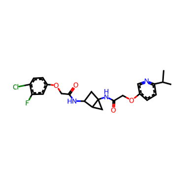 CC(C)c1ccc(OCC(=O)NC23CC(NC(=O)COc4ccc(Cl)c(F)c4)C2C3)cn1